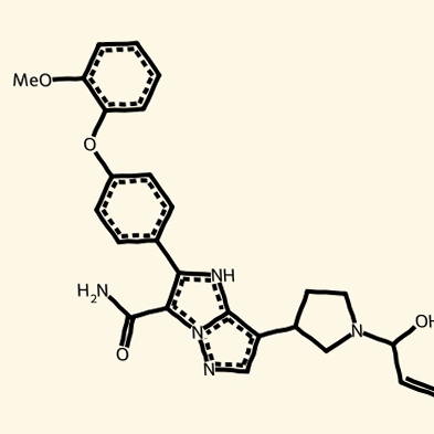 C=CC(O)N1CCC(c2cnn3c(C(N)=O)c(-c4ccc(Oc5ccccc5OC)cc4)[nH]c23)C1